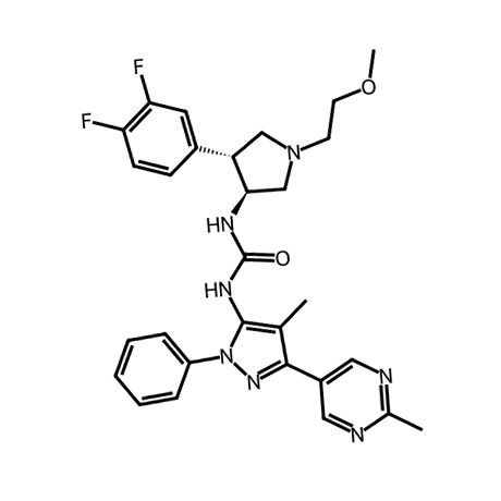 COCCN1C[C@@H](NC(=O)Nc2c(C)c(-c3cnc(C)nc3)nn2-c2ccccc2)[C@H](c2ccc(F)c(F)c2)C1